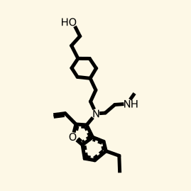 C=Cc1oc2ccc(CC)cc2c1N(CCNC)CCC1CCC(CCO)CC1